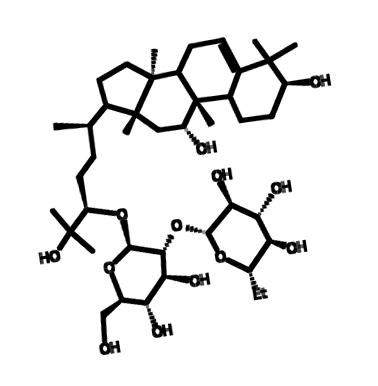 CC[C@@H]1O[C@H](O[C@H]2[C@H](O[C@H](CC[C@@H](C)C3CC[C@@]4(C)C5CC=C6C(CC[C@H](O)C6(C)C)[C@]5(C)[C@H](O)C[C@]34C)C(C)(C)O)O[C@H](CO)[C@@H](O)[C@@H]2O)[C@@H](O)[C@H](O)[C@H]1O